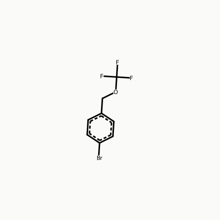 FC(F)(F)OCc1ccc(Br)cc1